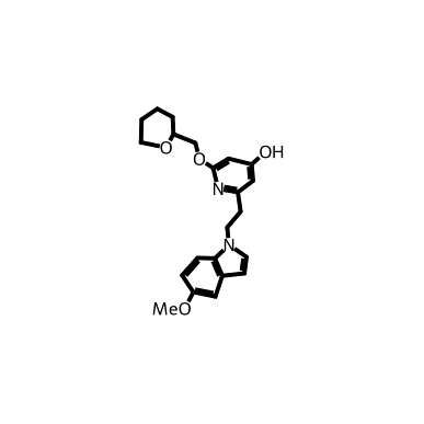 COc1ccc2c(ccn2CCc2cc(O)cc(OCC3CCCCO3)n2)c1